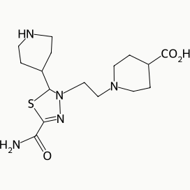 NC(=O)C1=NN(CCN2CCC(C(=O)O)CC2)C(C2CCNCC2)S1